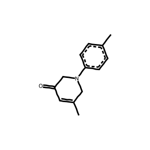 CC1=CC(=O)CN(c2ccc(C)cc2)C1